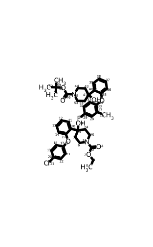 CCOC(=O)N1CCC(O)(c2ccccc2Oc2ccc(Cl)cc2)CC1.Cc1cc(F)ccc1Oc1ccccc1C1(O)CCN(C(=O)OC(C)(C)C)CC1